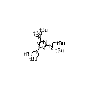 CC(C)(C)CN(CC(C)(C)C)c1nc(N(CC(C)(C)C)CC(C)(C)C)nc(N(CC(C)(C)C)CC(C)(C)C)n1